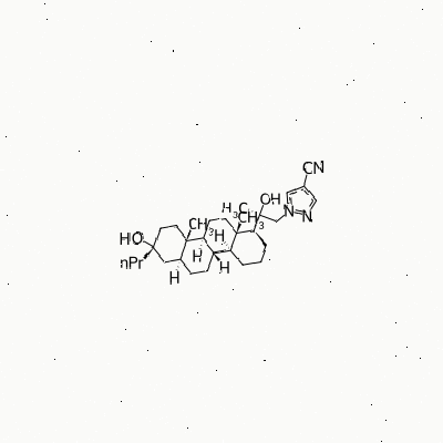 CCC[C@@]1(O)CC[C@@]2(C)[C@@H](CC[C@@H]3[C@@H]2CC[C@@]2(C)[C@H]3CCC[C@@H]2[C@@](C)(O)Cn2cc(C#N)cn2)C1